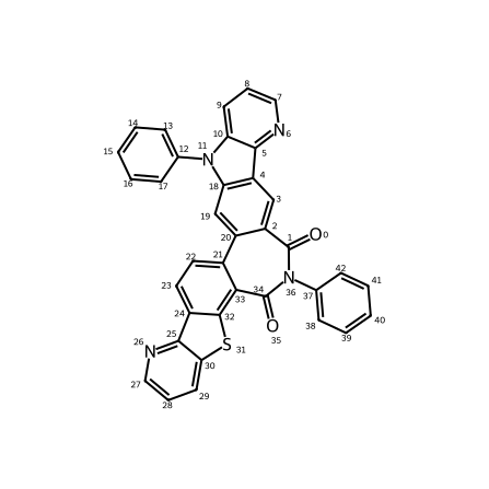 O=c1c2cc3c4ncccc4n(-c4ccccc4)c3cc2c2ccc3c4ncccc4sc3c2c(=O)n1-c1ccccc1